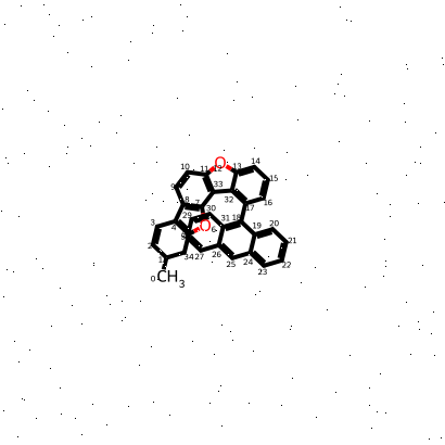 CC1C=Cc2c(oc3c2ccc2oc4cccc(-c5c6ccccc6cc6ccccc56)c4c23)C1